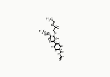 CCOC(=O)CC[C@H](NC(=O)c1ccc(CCC=O)cc1)C(=O)OCC